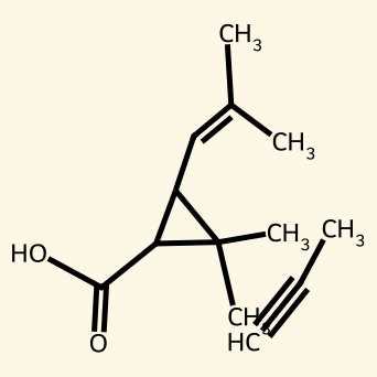 C#CC.CC(C)=CC1C(C(=O)O)C1(C)C